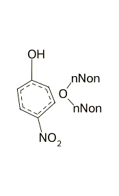 CCCCCCCCCOCCCCCCCCC.O=[N+]([O-])c1ccc(O)cc1